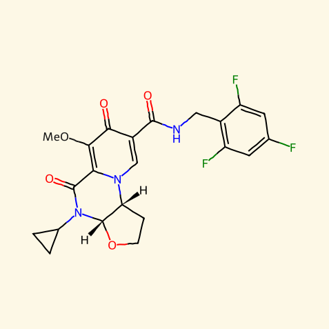 COc1c2n(cc(C(=O)NCc3c(F)cc(F)cc3F)c1=O)[C@@H]1CCO[C@@H]1N(C1CC1)C2=O